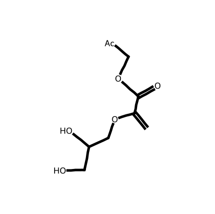 C=C(OCC(O)CO)C(=O)OCC(C)=O